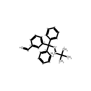 CC(C)(C)[SiH2]OC(c1ccccc1)(c1ccccc1)c1cccc(C=O)c1